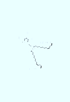 CCCCC/C=C\C/C=C\CCCCCCCC(=O)OC[C@H](CO[C@@H]1O[C@H](CO)[C@H](O)C(O)C1O)OC(=O)CCCCCCC/C=C\C/C=C\CCCCC